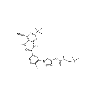 COc1c(C#N)cc(C(C)(C)C)cc1NC(=O)c1ccc(C)c(-n2cc(OC(=O)NCC(C)(C)C)nn2)c1